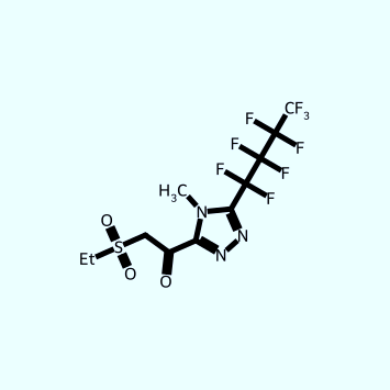 CCS(=O)(=O)CC(=O)c1nnc(C(F)(F)C(F)(F)C(F)(F)C(F)(F)F)n1C